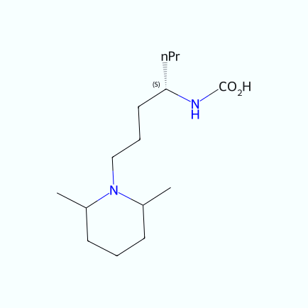 CCC[C@@H](CCCN1C(C)CCCC1C)NC(=O)O